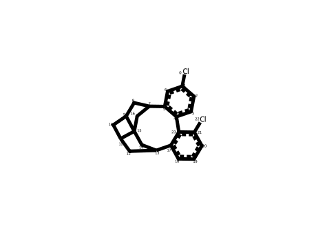 Clc1ccc2c(c1)C1CC3CC4CC(CC34C1)c1cccc(Cl)c1-2